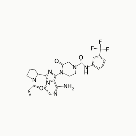 C=CC(=O)N1CCCC1c1nc(N2CCN(C(=O)Nc3cccc(C(F)(F)F)c3)CC2=O)c2c(N)nccn12